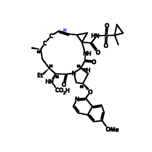 CC[C@@H]1C[C@H](C)CC/C=C\C2CC2(C(=O)NS(=O)(=O)C2(C)CC2)NC(=O)[C@@H]2C[C@@H](Oc3nccc4cc(OC)ccc34)CN2C(=O)[C@H]1NC(=O)O